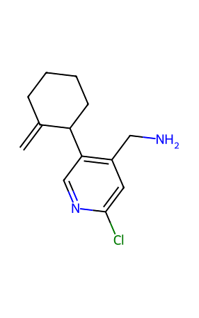 C=C1CCCCC1c1cnc(Cl)cc1CN